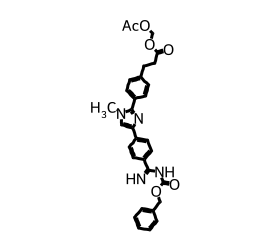 CC(=O)OCOC(=O)CCc1ccc(-c2nc(-c3ccc(C(=N)NC(=O)OCc4ccccc4)cc3)cn2C)cc1